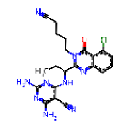 CC[C@H](Nc1nc(N)nc(N)c1C#N)c1nc2cccc(Cl)c2c(=O)n1CCCCC#N